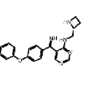 N=C(c1ccc(Oc2ccccc2)cc1)c1cncnc1NC[C@@H]1CCN1